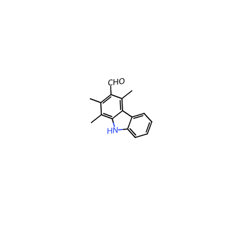 Cc1c(C=O)c(C)c2c([nH]c3ccccc32)c1C